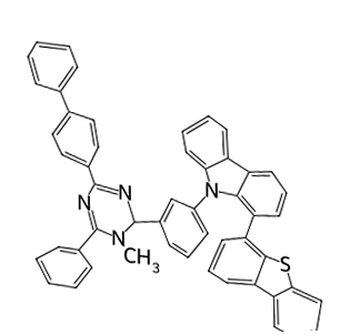 CN1C(c2ccccc2)=NC(c2ccc(-c3ccccc3)cc2)=NC1c1cccc(-n2c3ccccc3c3cccc(-c4cccc5c4sc4ccccc45)c32)c1